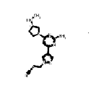 CN[C@@H]1CCN(c2cc(-c3cnn(CCC#N)c3)nc(N)n2)C1